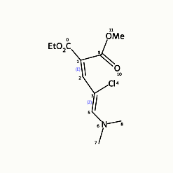 CCOC(=O)/C(=C/C(Cl)=C/N(C)C)C(=O)OC